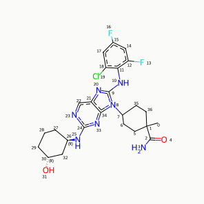 CC1(C(N)=O)CCC(n2c(Nc3c(F)cc(F)cc3Cl)nc3cnc(N[C@@H]4CCC[C@@H](O)C4)nc32)CC1